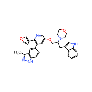 Cc1n[nH]c2ccc(-c3cc(OC[C@H](Cc4c[nH]c5ccccc45)N4CCOCC4)cnc3-c3ccoc3)cc12